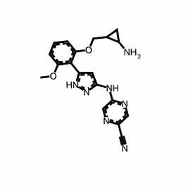 COc1cccc(OCC2CC2N)c1-c1cc(Nc2cnc(C#N)cn2)n[nH]1